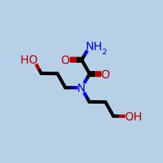 NC(=O)C(=O)N(CCCO)CCCO